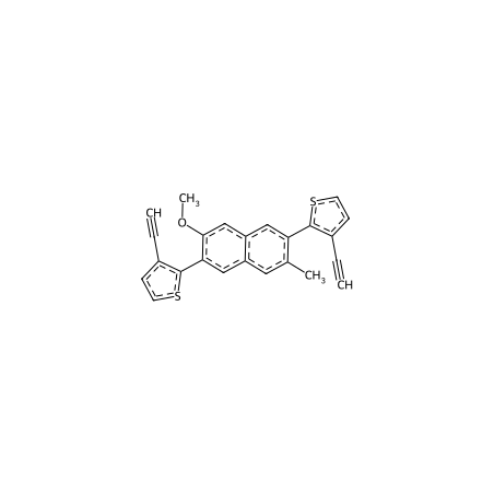 C#Cc1ccsc1-c1cc2cc(OC)c(-c3sccc3C#C)cc2cc1C